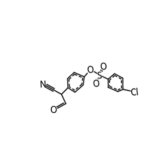 N#CC(C=O)c1ccc(OS(=O)(=O)c2ccc(Cl)cc2)cc1